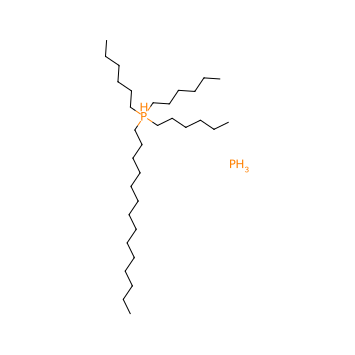 CCCCCCCCCCCCCC[PH](CCCCCC)(CCCCCC)CCCCCC.P